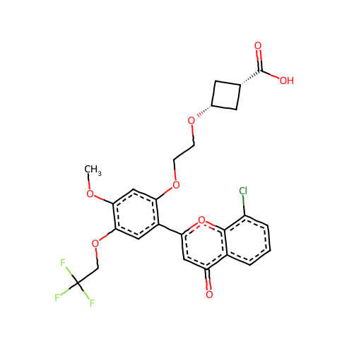 COc1cc(OCCO[C@H]2C[C@@H](C(=O)O)C2)c(-c2cc(=O)c3cccc(Cl)c3o2)cc1OCC(F)(F)F